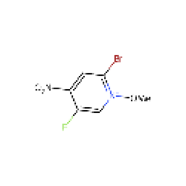 CO[n+]1cc(F)c([N+](=O)[O-])cc1Br